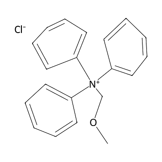 COC[N+](c1ccccc1)(c1ccccc1)c1ccccc1.[Cl-]